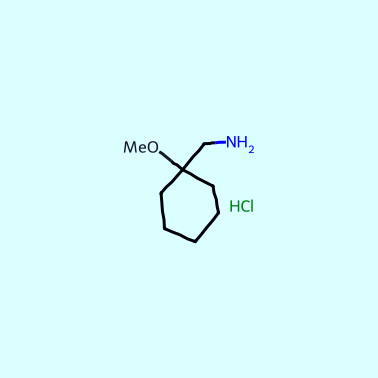 COC1(CN)CCCCC1.Cl